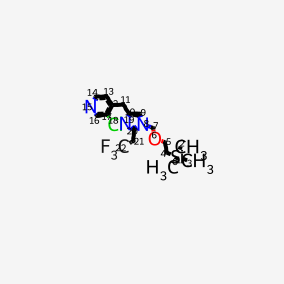 C[Si](C)(C)CCOCn1cc(Cc2ccncc2Cl)nc1CC(F)(F)F